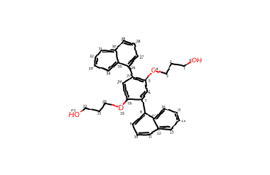 OCCCOc1cc(-c2cccc3ccccc23)c(OCCCO)cc1-c1cccc2ccccc12